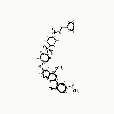 COc1ccc(Cl)c(-c2cc(C)c3nc(Nc4ccc(S(=O)(=O)C5CCN(C(=O)OCc6ccccc6)CC5)cc4)nnc3c2)c1